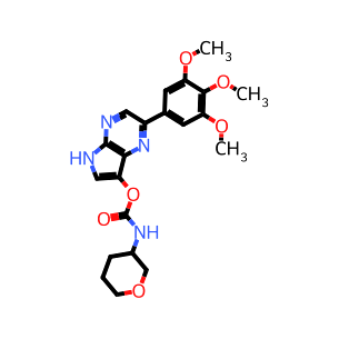 COc1cc(-c2cnc3[nH]cc(OC(=O)NC4CCCOC4)c3n2)cc(OC)c1OC